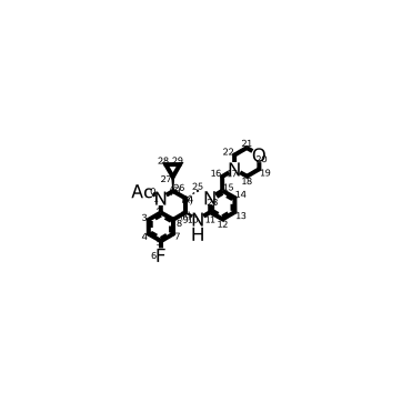 CC(=O)N1c2ccc(F)cc2[C@H](Nc2cccc(CN3CCOCC3)n2)[C@@H](C)[C@@H]1C1CC1